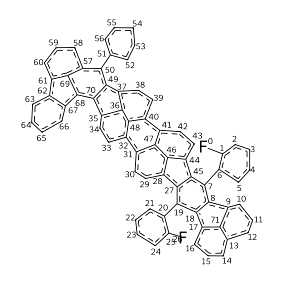 Fc1ccccc1-c1c2c3cccc4cccc(c2c(-c2ccccc2F)c2c5ccc6c7ccc8c9c(ccc(c%10ccc(c12)c5c%106)c79)c1c(-c2ccccc2)c2cccc5c6ccccc6c(c25)c81)c43